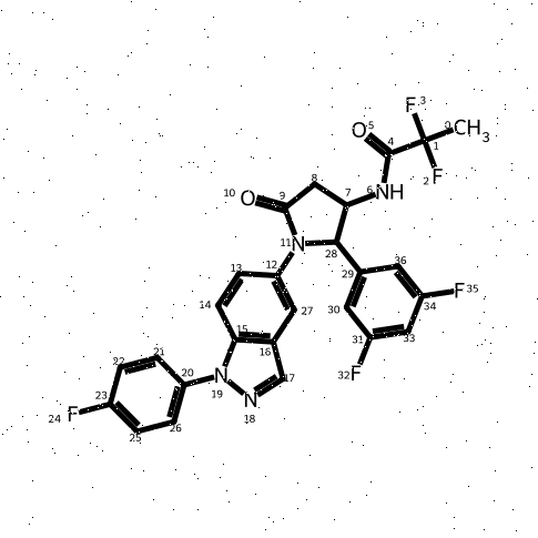 CC(F)(F)C(=O)NC1CC(=O)N(c2ccc3c(cnn3-c3ccc(F)cc3)c2)C1c1cc(F)cc(F)c1